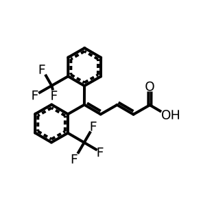 O=C(O)C=CC=C(c1ccccc1C(F)(F)F)c1ccccc1C(F)(F)F